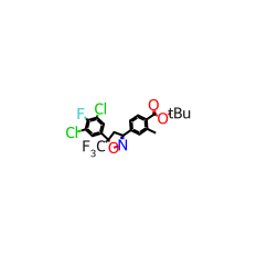 Cc1cc(C2=NOC(c3cc(Cl)c(F)c(Cl)c3)(C(F)(F)F)C2)ccc1C(=O)OC(C)(C)C